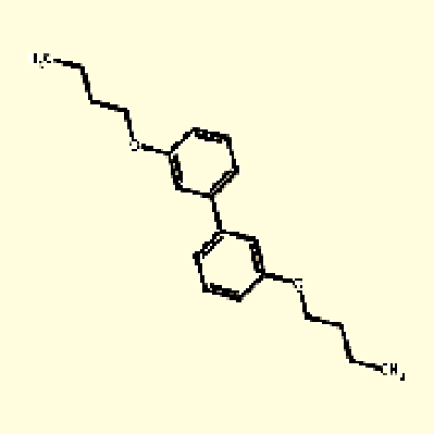 CCCCOc1cccc(-c2cccc(OCCCC)c2)c1